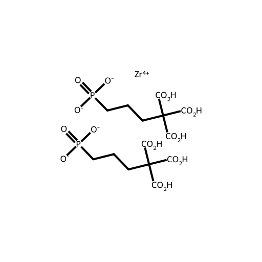 O=C(O)C(CCCP(=O)([O-])[O-])(C(=O)O)C(=O)O.O=C(O)C(CCCP(=O)([O-])[O-])(C(=O)O)C(=O)O.[Zr+4]